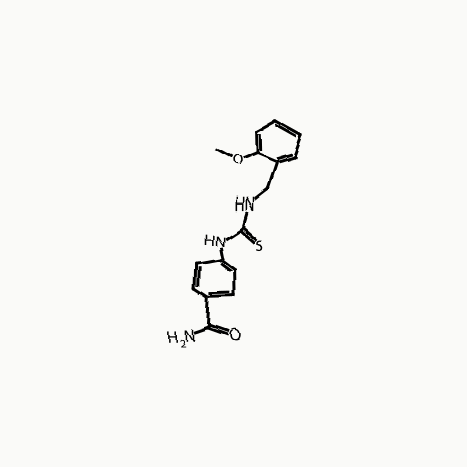 COc1ccccc1CNC(=S)Nc1ccc(C(N)=O)cc1